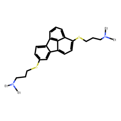 CCN(CC)CCCSc1ccc2c(c1)-c1ccc(SCCCN(CC)CC)c3cccc-2c13